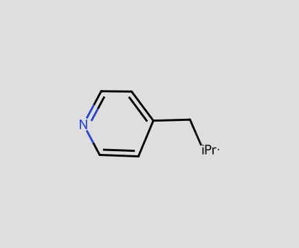 C[C](C)Cc1ccncc1